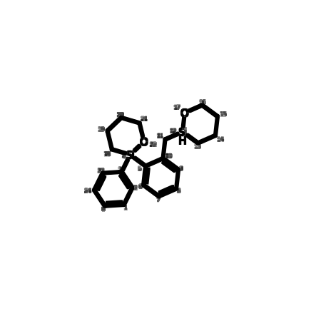 c1ccc([Si]2(c3ccccc3C[SiH]3CCCCO3)CCCCO2)cc1